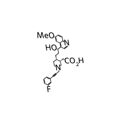 COc1ccc2nccc([C@@H](O)CC[C@@H]3CCN(CC#Cc4cccc(F)c4)C[C@@H]3CC(=O)O)c2c1